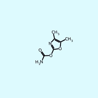 Cc1nc(OC(N)=O)oc1C